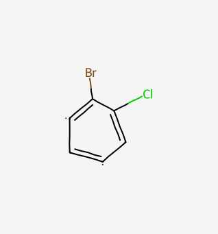 Clc1c[c]c[c]c1Br